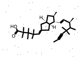 CC#CC(C)(C)C(C)[C@H](C)/C=C/[C@@H]1[C@H]2C/C(=C/C(C)(C)C(C)(C)C(C)(C)C(=O)O)C[C@H]2C[C@H]1C